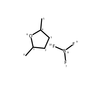 CC1CCC(C)O1.FB(F)F